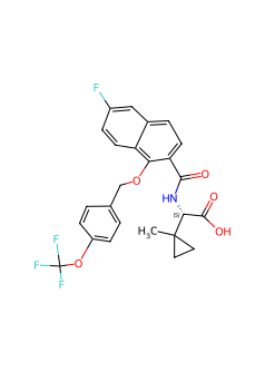 CC1([C@H](NC(=O)c2ccc3cc(F)ccc3c2OCc2ccc(OC(F)(F)F)cc2)C(=O)O)CC1